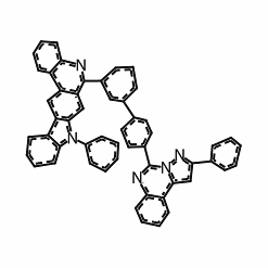 c1ccc(-c2cc3c4ccccc4nc(-c4ccc(-c5cccc(-c6nc7ccccc7c7cc8c9ccccc9n(-c9ccccc9)c8cc67)c5)cc4)n3n2)cc1